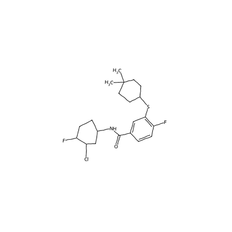 CC1(C)CCC(Sc2cc(C(=O)NC3CCC(F)C(Cl)C3)ccc2F)CC1